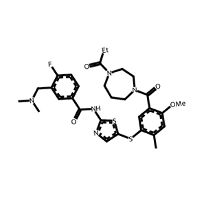 CCC(=O)N1CCCN(C(=O)c2cc(Sc3cnc(NC(=O)c4ccc(F)c(CN(C)C)c4)s3)c(C)cc2OC)CC1